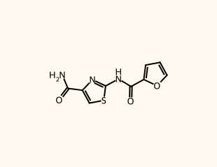 NC(=O)c1csc(NC(=O)c2ccco2)n1